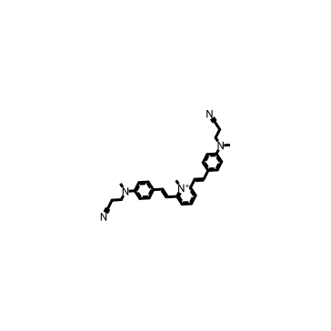 CN(CCC#N)c1ccc(/C=C/c2cccc(/C=C/c3ccc(N(C)CCC#N)cc3)[n+]2C)cc1